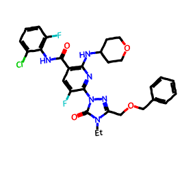 CCn1c(COCc2ccccc2)nn(-c2nc(NC3CCOCC3)c(C(=O)Nc3c(F)cccc3Cl)cc2F)c1=O